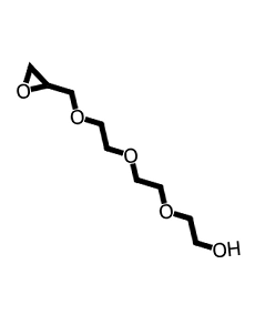 OCCOCCOCCOCC1CO1